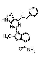 Cc1cc2c(C(N)=O)cccc2n1-c1nc(NCc2ccccc2)c2nc[nH]c2n1